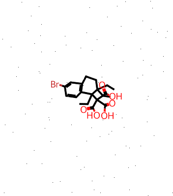 CCC1(CC)CCc2cc(Br)ccc2C1(CC)C(C(=O)O)(C(=O)O)C(=O)O